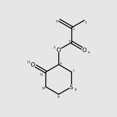 C=C(C)C(=O)OC1CSCCC1=O